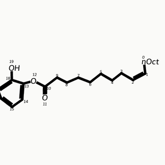 CCCCCCCC/C=C\CCCCCCCC(=O)Oc1ccccc1O